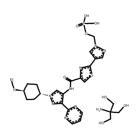 CCO[C@H]1CC[C@H](n2cc(NC(=O)c3csc(-c4cnn(COP(=O)(O)O)c4)n3)c(-c3ncccn3)n2)CC1.NC(CO)(CO)CO